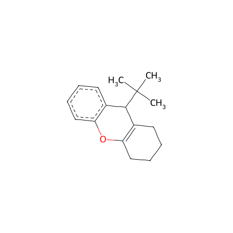 CC(C)(C)C1C2=C(CCCC2)Oc2ccccc21